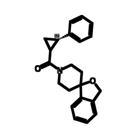 O=C(C1C[C@@H]1c1ccccc1)N1CCC2(CC1)OCc1ccccc12